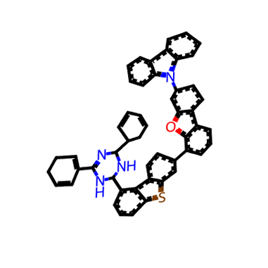 C1=CCC(C2N=C(C3=CCCC=C3)NC(c3cccc4sc5cc(-c6cccc7c6oc6cc(-n8c9ccccc9c9ccccc98)ccc67)ccc5c34)N2)C=C1